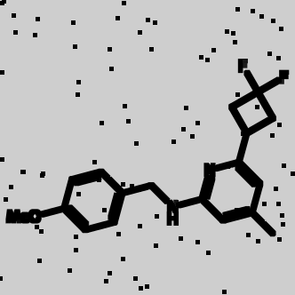 COc1ccc(CNc2cc(C)cc(C3CC(F)(F)C3)n2)cc1